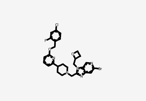 Fc1cc(Cl)ccc1COc1cccc(C2CCN(Cc3nc4cc(Br)ncc4n3CC3CCO3)CC2)n1